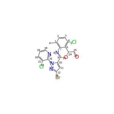 Cc1ccc(Cl)c2c1N=C(c1cc(Br)nn1-c1ncccc1Cl)OC2C=O